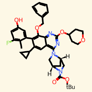 Cc1c(F)cc(O)cc1-c1c(C2CC2)cc2c(N3C[C@@H]4C[C@H]3CN4C(=O)OC(C)(C)C)nc(OC3CCOCC3)nc2c1OCc1ccccc1